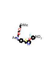 COCCOCCOCCN(Cc1ccc(-c2cc3nccc(Oc4ccc([N+](=O)[O-])cc4F)c3s2)cc1)C(C)=O